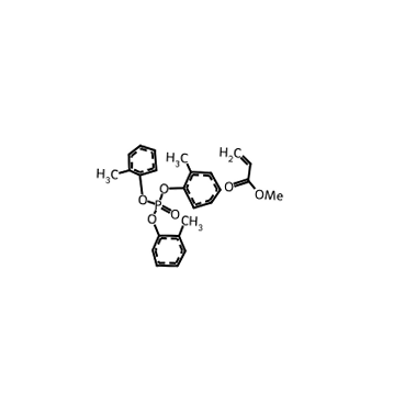 C=CC(=O)OC.Cc1ccccc1OP(=O)(Oc1ccccc1C)Oc1ccccc1C